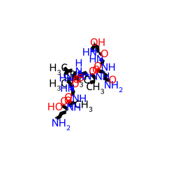 CC(C)C[C@H](NC(=O)CNC(=O)[C@H](CC(C)C)NC(=O)[C@H](CCC(N)=O)NC(=O)CNC(=O)[C@@H]1C[C@@H](O)CN1)C(=O)N[C@@H](C)C(=O)NCC(=O)N[C@@H](C)C(=O)N[C@@H](CCCCN)C(=O)O